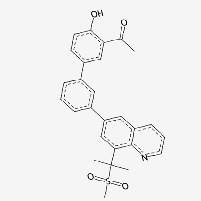 CC(=O)c1cc(-c2cccc(-c3cc(C(C)(C)S(C)(=O)=O)c4ncccc4c3)c2)ccc1O